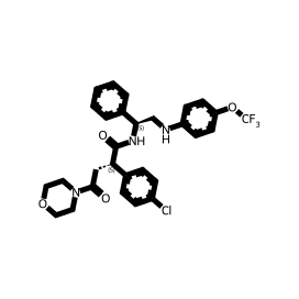 O=C(N[C@H](CNc1ccc(OC(F)(F)F)cc1)c1ccccc1)[C@@H](CC(=O)N1CCOCC1)c1ccc(Cl)cc1